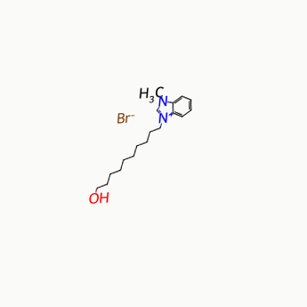 Cn1c[n+](CCCCCCCCCCO)c2ccccc21.[Br-]